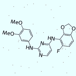 COc1ccc(Nc2nccc(Nc3c(F)ccc4c3OCO4)n2)cc1OC